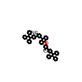 N#Cc1ccc(Oc2c3ccccc3c(-c3ccc(C#N)c(-c4ccc(C(=C(c5ccccc5)c5ccccc5)c5ccccc5)cc4)c3)c3ccccc23)cc1-c1ccc(C(=C(c2ccccc2)c2ccccc2)c2ccccc2)cc1